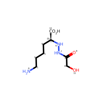 NCCCC[C@H](NNC(=O)CO)C(=O)O